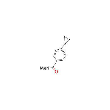 CNC(=O)c1ccc([C]2CC2)cc1